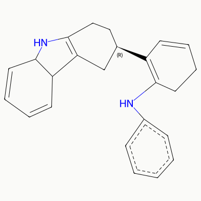 C1=CC2NC3=C(C[C@H](C4=C(Nc5ccccc5)CCC=C4)CC3)C2C=C1